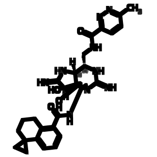 Cc1ccc(C(=O)NC[C@@H]2NC(=N)N3CC(NC(=O)c4cccc5c4CCCC54CC4)C(O)(O)C34NC(=N)N[C@@H]24)nn1